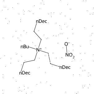 CCCCCCCCCCCC[N+](CCCC)(CCCCCCCCCCCC)CCCCCCCCCCCC.O=[N+]([O-])[O-]